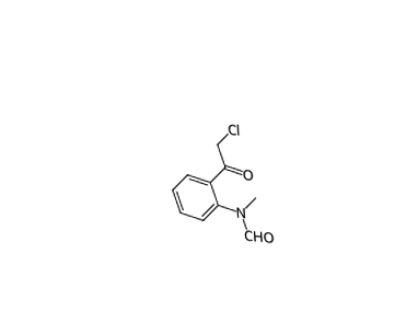 CN(C=O)c1ccccc1C(=O)CCl